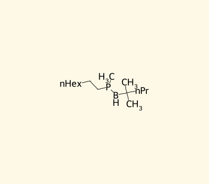 CCCCCCCCP(C)BC(C)(C)CCC